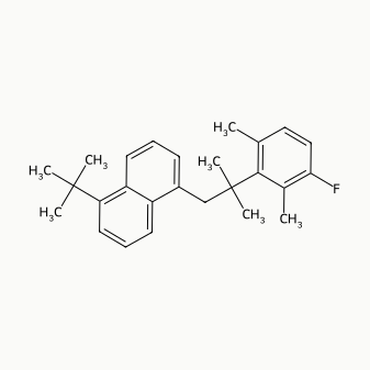 Cc1ccc(F)c(C)c1C(C)(C)Cc1cccc2c(C(C)(C)C)cccc12